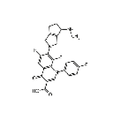 CNC1CCC2=C1CN(c1c(F)cc3c(=O)c(C(=O)O)cn(-c4ccc(F)cc4)c3c1F)C2